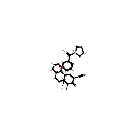 C[C@@H]1C(=O)C(C#N)=C[C@]2(c3ccc(C(=O)N4CCCC4)cc3)c3ncncc3CC[C@@H]12